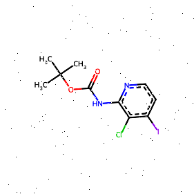 CC(C)(C)OC(=O)Nc1nccc(I)c1Cl